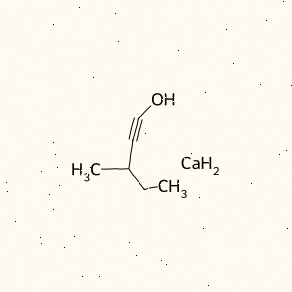 CCC(C)C#CO.[CaH2]